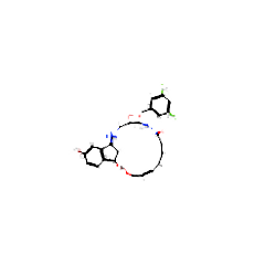 O=C1CCC/C=C\CO[C@@H]2C[C@H](NC[C@@H](O)[C@H](Cc3cc(F)cc(F)c3)N1)c1cc(Br)ccc12